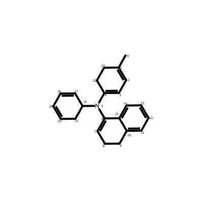 CC1=CC=C(N(C2=CCCc3ccccc32)C2C=CC=CC2)CC1